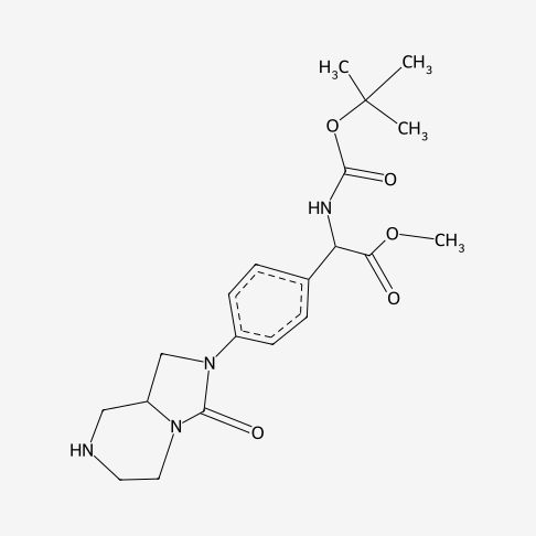 COC(=O)C(NC(=O)OC(C)(C)C)c1ccc(N2CC3CNCCN3C2=O)cc1